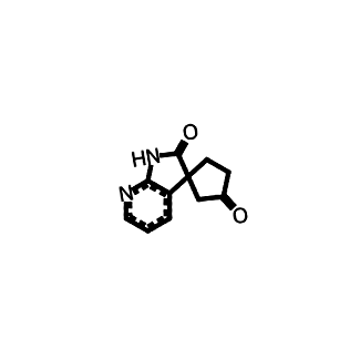 O=C1CCC2(C1)C(=O)Nc1ncccc12